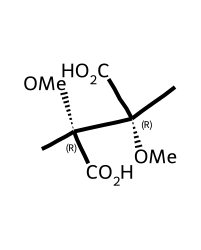 CO[C@@](C)(C(=O)O)[C@@](C)(OC)C(=O)O